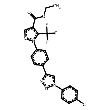 CCOC(=O)c1cnn(-c2ccc(-c3cn(-c4ccc(Cl)cc4)nn3)cc2)c1C(F)(F)F